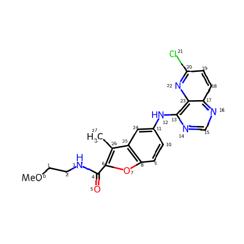 COCCNC(=O)c1oc2ccc(Nc3ncnc4ccc(Cl)nc34)cc2c1C